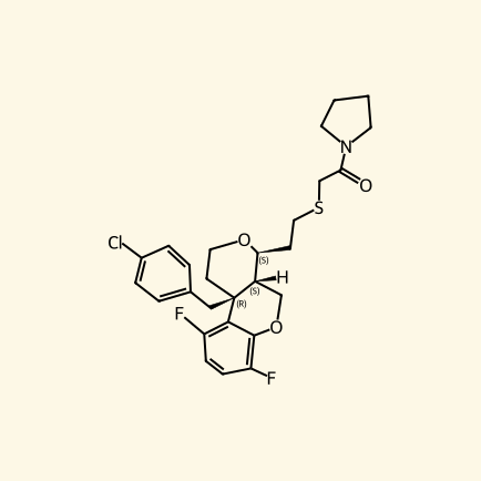 O=C(CSCC[C@@H]1OCC[C@@]2(Cc3ccc(Cl)cc3)c3c(F)ccc(F)c3OC[C@@H]12)N1CCCC1